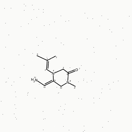 CC(C)=CN1CC(=O)N(C)C/C1=C/N